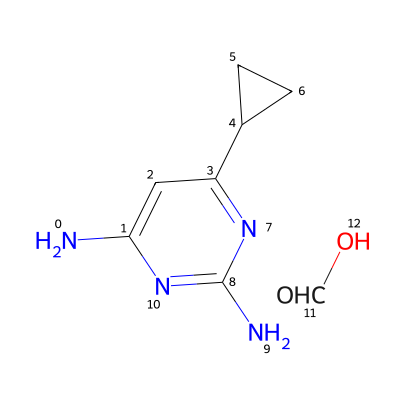 Nc1cc(C2CC2)nc(N)n1.O=CO